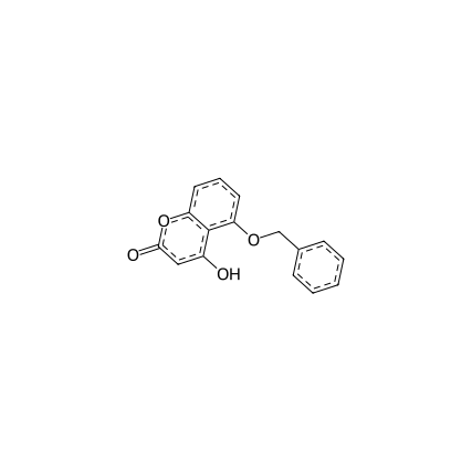 O=c1cc(O)c2c(OCc3ccccc3)cccc2o1